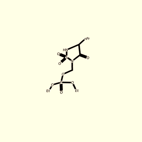 CCCC1NS(=O)(=O)N(COP(=O)(OCC)OCC)C1=O